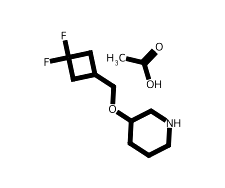 CC(=O)O.FC1(F)CC(COC2CCCNC2)C1